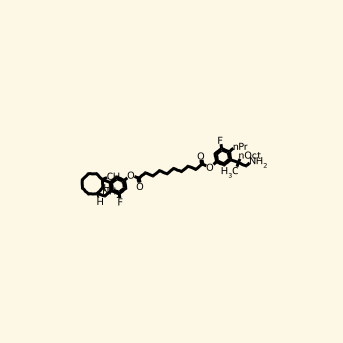 CCCCCCCCC(C)(CN)c1cc(OC(=O)CCCCCCCCC(=O)Oc2cc(F)c3c(c2)C2(C)CCCCC[C@@H](C3)[C@@H]2N)cc(F)c1CCC